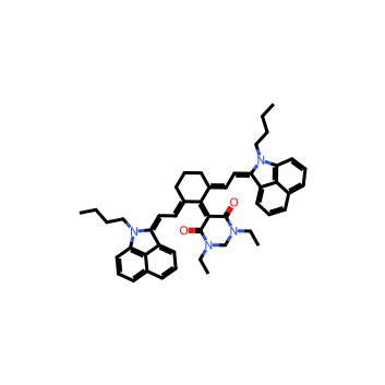 CCCCn1/c(=C/C=C2\CCC/C(=C\C=c3/c4cccc5cccc(c54)n3CCCC)C2=C2C(=O)N(CC)CN(CC)C2=O)c2cccc3cccc1c32